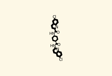 O=C(N[C@H]1CC[C@H](C(=O)Nc2ccc3cc(Cl)ccc3n2)CC1)c1ccc2cc(Cl)ccc2n1